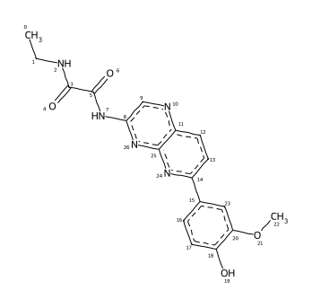 CCNC(=O)C(=O)Nc1cnc2ccc(-c3ccc(O)c(OC)c3)nc2n1